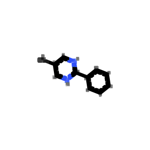 O=Nc1cnc(-c2ccccc2)nc1